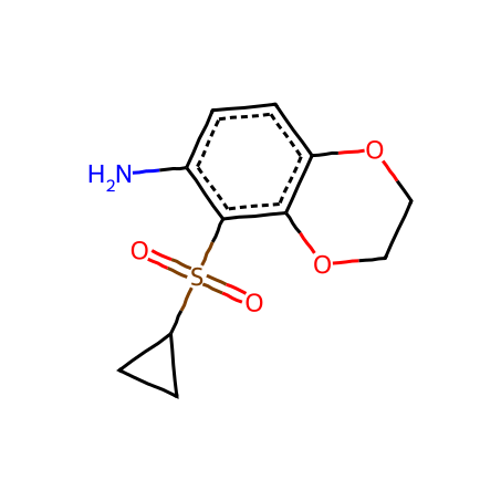 Nc1ccc2c(c1S(=O)(=O)C1CC1)OCCO2